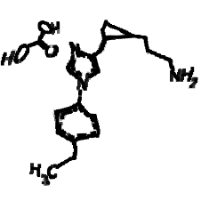 CCc1ccc(-n2cnc(C3CC3CCCN)c2)cc1.O=C(O)O